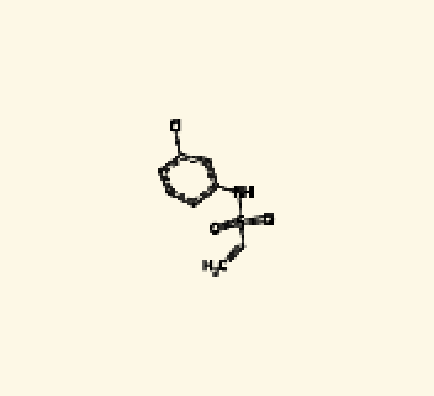 C=CS(=O)(=O)Nc1cccc(Cl)c1